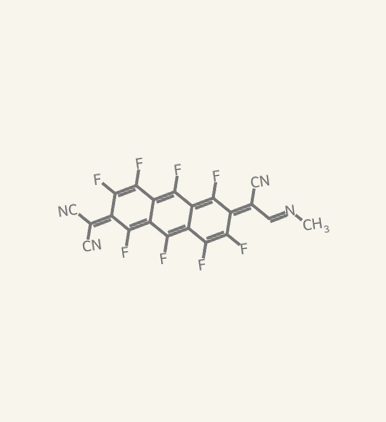 C/N=C/C(C#N)=c1\c(F)c(F)c2c(F)c3c(F)c(=C(C#N)C#N)c(F)c(F)c3c(F)c2c1F